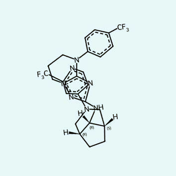 FC(F)(F)c1ccc(N2CCCn3nc(N[C@H]4[C@@H]5CC[C@H]4CN(c4ccnc(C(F)(F)F)c4)C5)nc32)cc1